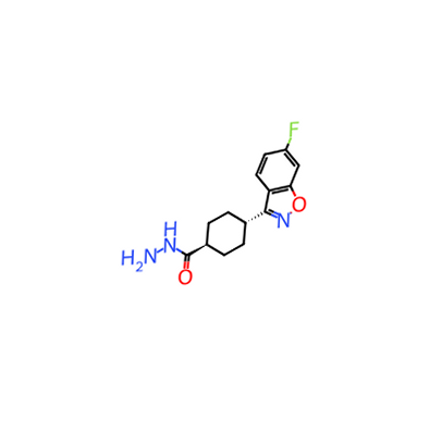 NNC(=O)[C@H]1CC[C@H](c2noc3cc(F)ccc32)CC1